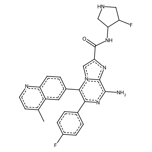 Cc1ccnc2ccc(-c3c(-c4ccc(F)cc4)nc(N)c4nc(C(=O)NC5CNCC5F)cn34)cc12